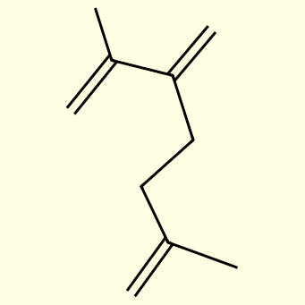 C=C(C)CCC(=C)C(=C)C